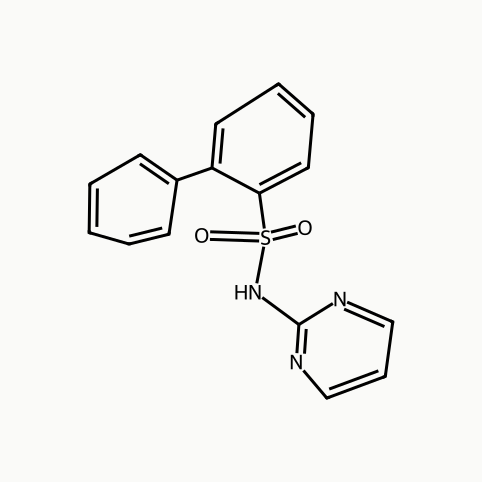 O=S(=O)(Nc1ncccn1)c1ccccc1-c1ccccc1